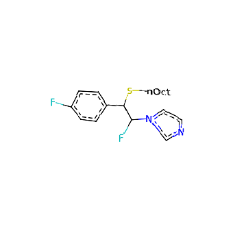 CCCCCCCCSC(c1ccc(F)cc1)C(F)n1ccnc1